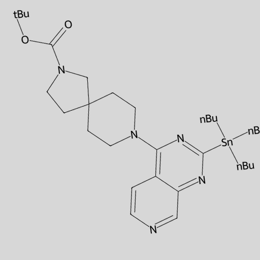 CCC[CH2][Sn]([CH2]CCC)([CH2]CCC)[c]1nc(N2CCC3(CCN(C(=O)OC(C)(C)C)C3)CC2)c2ccncc2n1